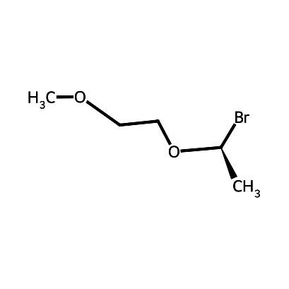 COCCO[C@H](C)Br